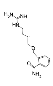 N=C(N)NCC[CH]COCc1ccccc1C(N)=O